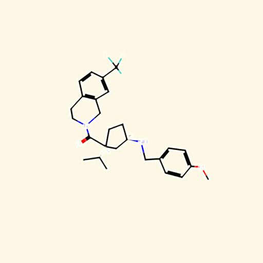 COc1ccc(CN[C@@H]2CC[C@@](C(=O)N3CCc4ccc(C(F)(F)F)cc4C3)(C(C)C)C2)cc1